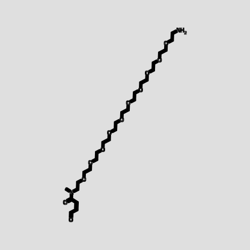 CN(CCOCCOCCOCCOCCOCCOCCOCCOCCOCCOCCN)C(=O)/C=C\C=O